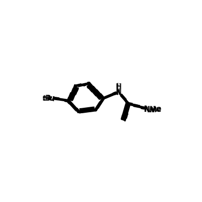 C=C(NC)Nc1ccc(C(C)(C)C)cc1